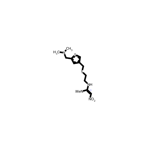 CN/C(=C\[N+](=O)[O-])NCCSCc1csc(CN(C)C)c1